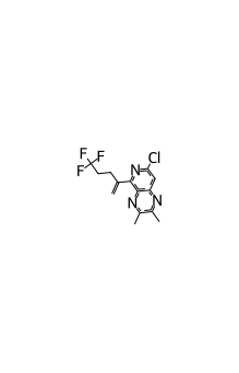 C=C(CCC(F)(F)F)c1nc(Cl)cc2nc(C)c(C)nc12